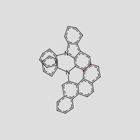 c1ccc(N(c2cc3ccccc3c3ccc4ccccc4c23)c2cccc3c4ccccc4n(-c4ccccc4)c23)cc1